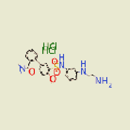 COc1ccc(-c2ccccc2C(=O)N(C)C)cc1S(=O)(=O)Nc1cccc(NCCN)c1.Cl.Cl